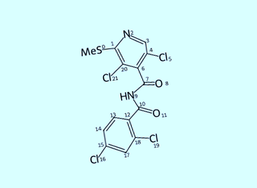 CSc1ncc(Cl)c(C(=O)NC(=O)c2ccc(Cl)cc2Cl)c1Cl